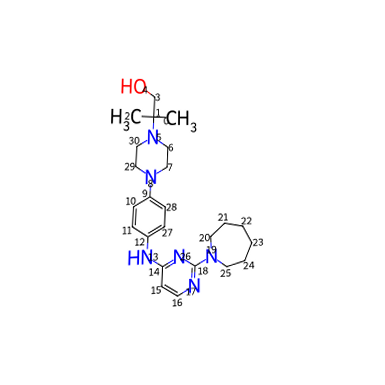 CC(C)(CO)N1CCN(c2ccc(Nc3ccnc(N4CCCCCC4)n3)cc2)CC1